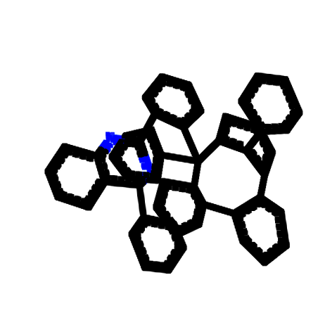 c1ccc(-c2c3cccc2C(c2ccccc2)(c2ccccc2-c2nc(-c4ccccc4)c4ccccc4n2)c2ccccc2-c2ccccc2-3)cc1